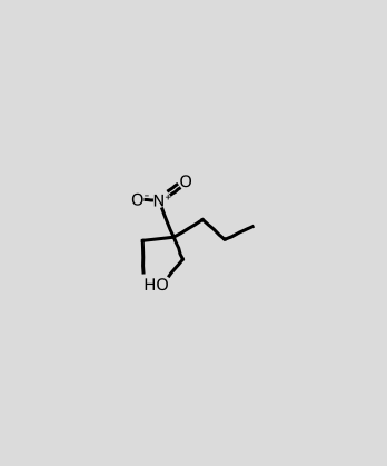 CCCC(CC)(CO)[N+](=O)[O-]